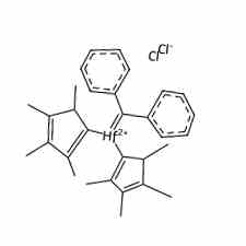 CC1=C(C)C(C)[C]([Hf+2]([C]2=C(C)C(C)=C(C)C2C)=[C](c2ccccc2)c2ccccc2)=C1C.[Cl-].[Cl-]